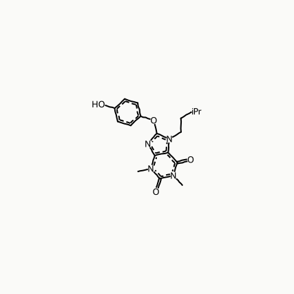 CC(C)CCn1c(Oc2ccc(O)cc2)nc2c1c(=O)n(C)c(=O)n2C